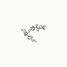 Cc1ccc(-c2noc(C)c2COc2ccc(C(=O)N[C@@H]3CCS(=O)(=O)C3)nn2)cn1